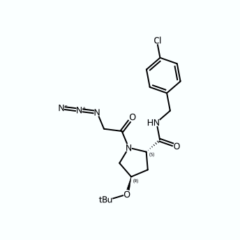 CC(C)(C)O[C@@H]1C[C@@H](C(=O)NCc2ccc(Cl)cc2)N(C(=O)CN=[N+]=[N-])C1